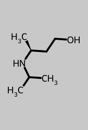 CC(C)N[C@@H](C)CCO